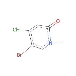 Cn1cc(Br)c(Cl)cc1=O